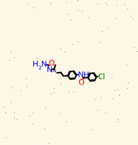 NC1=N[C@@H](CCCc2ccc(NC(=O)c3ccc(Cl)cc3)cc2)CO1